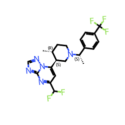 C[C@@H]1CCN([C@@H](C)c2ccc(C(F)(F)F)cc2)C[C@H]1c1cc(C(F)F)nc2ncnn12